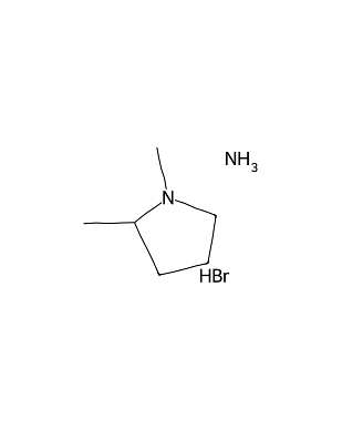 Br.CC1CCCN1C.N